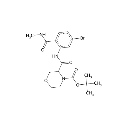 CNC(=O)c1ccc(Br)cc1NC(=O)C1COCCN1C(=O)OC(C)(C)C